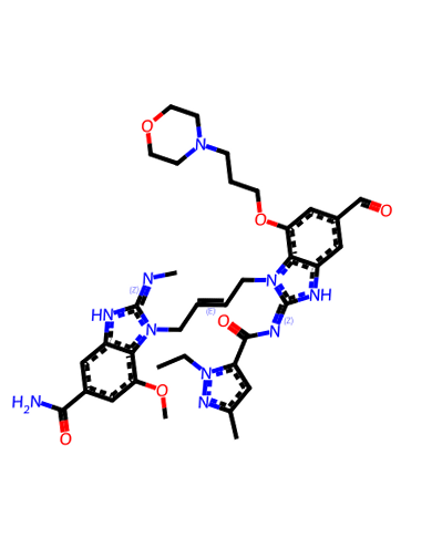 CCn1nc(C)cc1C(=O)/N=c1/[nH]c2cc(C=O)cc(OCCCN3CCOCC3)c2n1C/C=C/Cn1/c(=N\C)[nH]c2cc(C(N)=O)cc(OC)c21